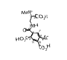 CNC(CNC(=O)c1cc(C(C)=O)c(C(=O)O)cc1C(=O)O)C(=O)O